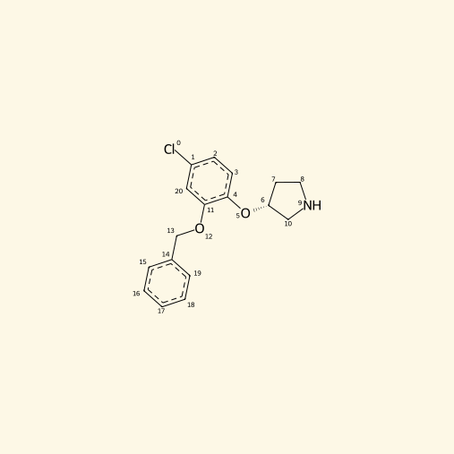 Clc1ccc(O[C@@H]2CCNC2)c(OCc2ccccc2)c1